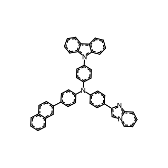 c1ccc2cc(-c3ccc(N(c4ccc(-c5cn6ccccc6n5)cc4)c4ccc(-n5c6ccccc6c6ccccc65)cc4)cc3)ccc2c1